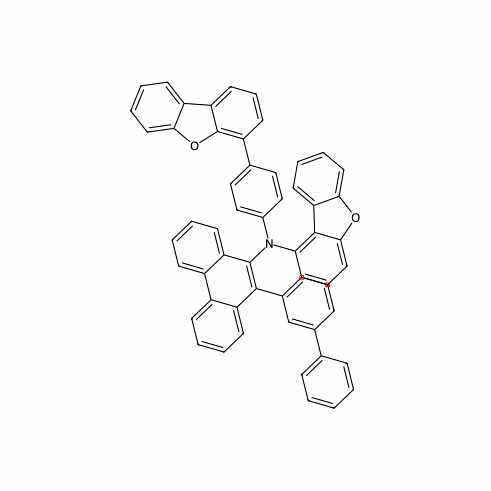 c1ccc(-c2cccc(-c3c(N(c4ccc(-c5cccc6c5oc5ccccc56)cc4)c4cccc5oc6ccccc6c45)c4ccccc4c4ccccc34)c2)cc1